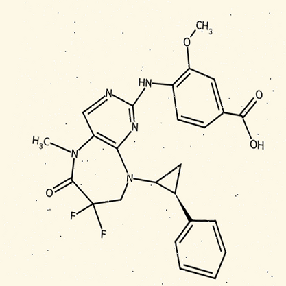 COc1cc(C(=O)O)ccc1Nc1ncc2c(n1)N(C1C[C@H]1c1ccccc1)CC(F)(F)C(=O)N2C